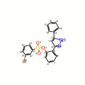 O=S(=O)(Oc1ccccc1-c1cc(-c2ccccc2)[nH]n1)c1cccc(Br)c1